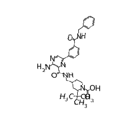 CC(C)(C)C1CC(CNC(=O)c2nc(-c3cccc(C(=O)NCc4ccccc4)c3)cnc2N)CCN1C(=O)O